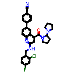 N#Cc1ccc(-c2ccc3nc(NCc4ccc(F)cc4Cl)cc(C(=O)N4CCCC4N4CCCC4)c3c2)cc1